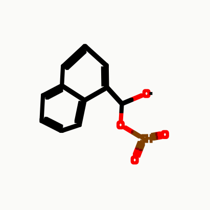 [O]C(O[SH](=O)=O)c1cccc2ccccc12